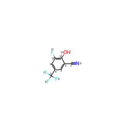 N#Cc1cc(C(F)(F)F)cc(F)c1O